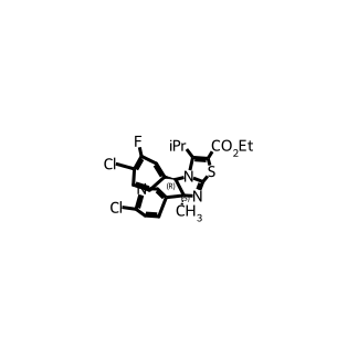 CCOC(=O)C1=C(C(C)C)N2C(=N[C@@](C)(c3ccc(Cl)nc3)[C@H]2c2ccc(Cl)c(F)c2)S1